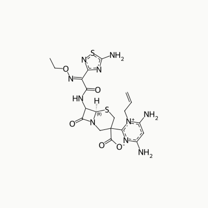 C=CC[n+]1c(N)cc(N)nc1C1(C(=O)[O-])CS[C@@H]2C(NC(=O)C(=NOCC)c3nsc(N)n3)C(=O)N2C1